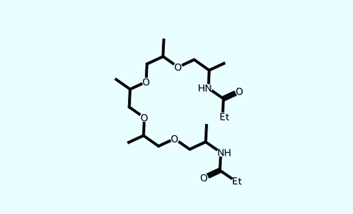 CCC(=O)NC(C)COCC(C)OCC(C)OCC(C)OCC(C)NC(=O)CC